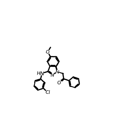 COc1ccc2c(c1)c(Nc1cccc(Cl)c1)nn2CC(=O)c1ccccc1